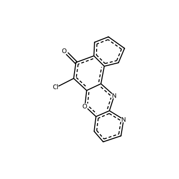 O=c1c(Cl)c2oc3cccnc3nc-2c2ccccc12